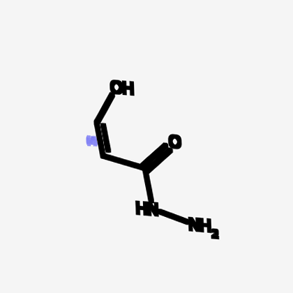 NNC(=O)/C=C\O